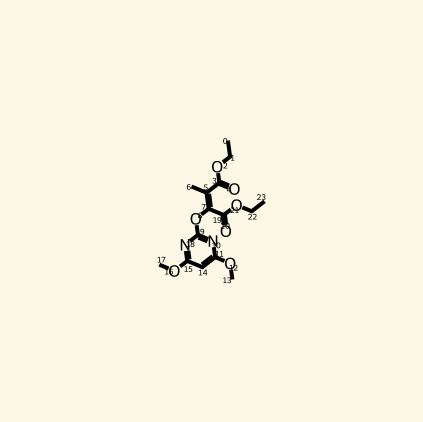 CCOC(=O)/C(C)=C(/Oc1nc(OC)cc(OC)n1)C(=O)OCC